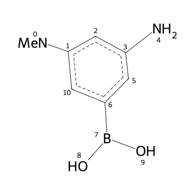 CNc1cc(N)cc(B(O)O)c1